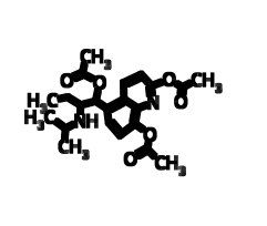 CCC(NC(C)C)C(OC(C)=O)c1ccc(OC(C)=O)c2nc(OC(C)=O)ccc12